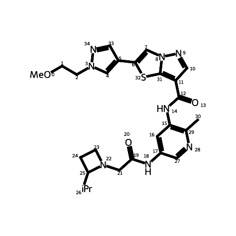 COCCn1cc(-c2cn3ncc(C(=O)Nc4cc(NC(=O)CN5CCC5C(C)C)cnc4C)c3s2)cn1